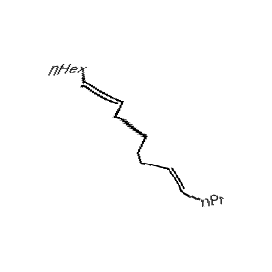 [CH2]CCC=CCCCC=CCCCCCC